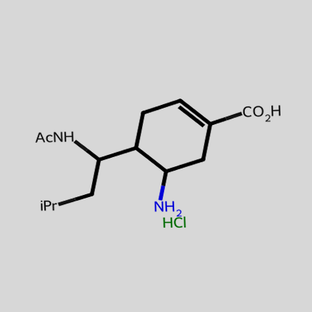 CC(=O)NC(CC(C)C)C1CC=C(C(=O)O)CC1N.Cl